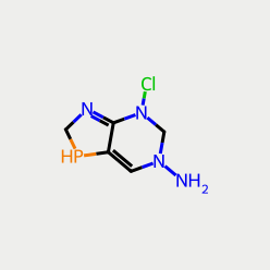 NN1C=C2PCN=C2N(Cl)C1